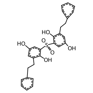 O=S(=O)(c1cc(O)cc(CCc2ccccc2)c1O)c1cc(O)cc(CCc2ccccc2)c1O